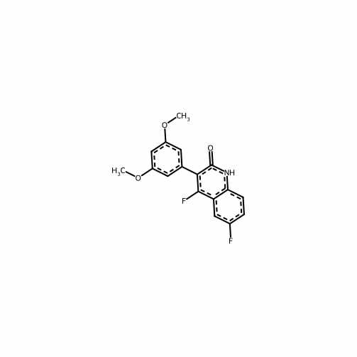 COc1cc(OC)cc(-c2c(F)c3cc(F)ccc3[nH]c2=O)c1